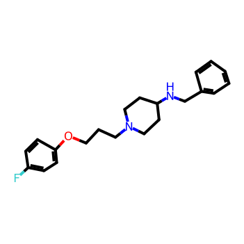 Fc1ccc(OCCCN2CCC(NCc3ccccc3)CC2)cc1